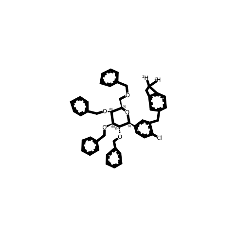 [2H]C1([2H])Cc2cc(Cc3cc([C@@H]4O[C@H](COCc5ccccc5)[C@@H](OCc5ccccc5)[C@H](OCc5ccccc5)[C@H]4OCc4ccccc4)ccc3Cl)ccc21